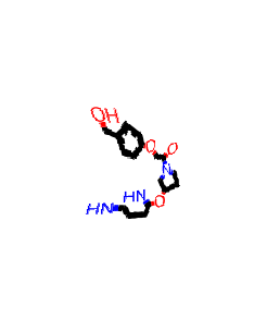 N=C/C=C\C(=N)OC1CCN(C(=O)COc2ccc(CO)cc2)C1